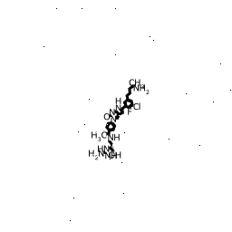 C[C@H](N)CCCc1cc(Cl)c(F)c(-c2cc3cn(-c4ccc([C@H](C)NCC[C@@H](CO)NC(=N)N)cc4)c(=O)nc3[nH]2)c1